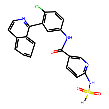 CCS(=O)(=O)Nc1ccc(C(=O)Nc2ccc(Cl)c(-c3nccc4ccccc34)c2)cn1